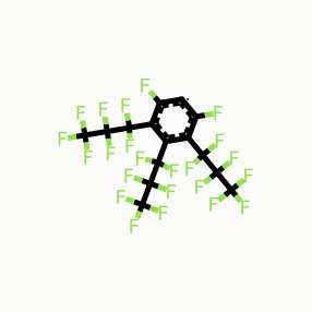 Fc1[c]c(F)c(C(F)(F)C(F)(F)C(F)(F)F)c(C(F)(F)C(F)(F)C(F)(F)F)c1C(F)(F)C(F)(F)C(F)(F)F